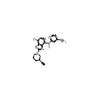 C#CC1CCCN(c2nc3c(F)cnc(Nc4cc(N)ncn4)c3s2)C1